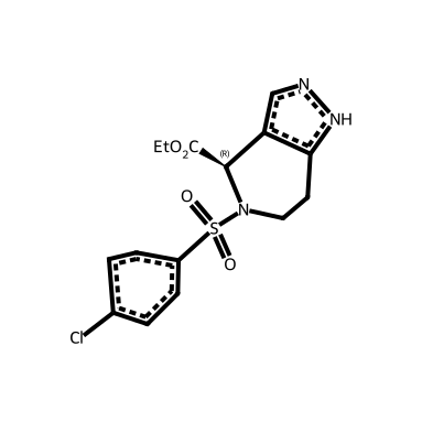 CCOC(=O)[C@H]1c2cn[nH]c2CCN1S(=O)(=O)c1ccc(Cl)cc1